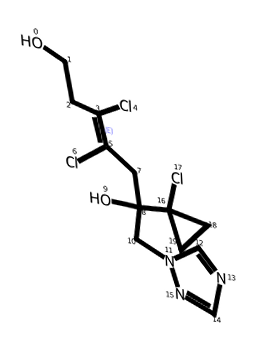 OCC/C(Cl)=C(\Cl)CC(O)(Cn1cncn1)C1(Cl)CC1